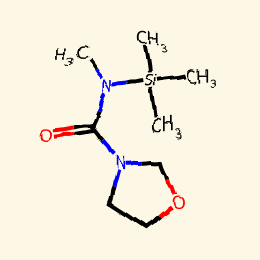 CN(C(=O)N1CCOC1)[Si](C)(C)C